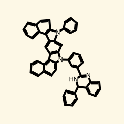 c1ccc(C2NC(c3cccc(-n4c5cc6c(cc5c5c7ccccc7ccc54)c4c5ccccc5ccc4n6-c4ccccc4)c3)=Nc3ccccc32)cc1